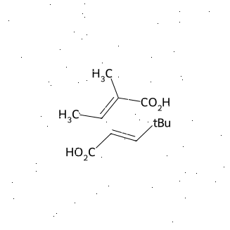 CC(C)(C)C=CC(=O)O.CC=C(C)C(=O)O